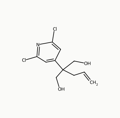 C=CCC(CO)(CO)c1cc(Cl)nc(Cl)c1